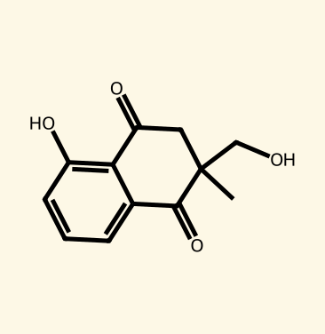 CC1(CO)CC(=O)c2c(O)cccc2C1=O